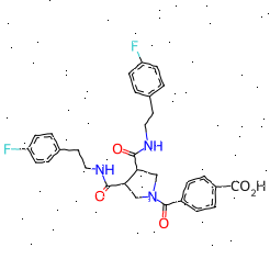 O=C(O)c1ccc(C(=O)N2CC(C(=O)NCCc3ccc(F)cc3)C(C(=O)NCCc3ccc(F)cc3)C2)cc1